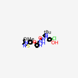 COCc1cnc2sc3cc(Oc4ccccc4CNC(=O)Nc4cc(C(C)(C)C)nn4-c4ccc(O)c(Cl)c4)ccc3n12